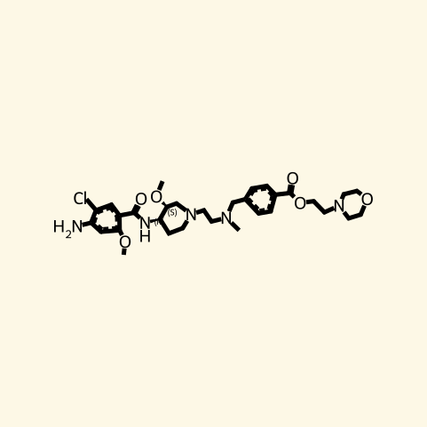 COc1cc(N)c(Cl)cc1C(=O)N[C@@H]1CCN(CCN(C)Cc2ccc(C(=O)OCCN3CCOCC3)cc2)C[C@@H]1OC